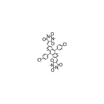 CN1C(=O)C(=Cc2cc3c(-c4ccc(Cl)cc4)c4sc(C=C5C(=O)N(C)C(=O)N(C)C5=O)cc4c(-c4ccc(Cl)cc4)c3s2)C(=O)N(C)C1=O